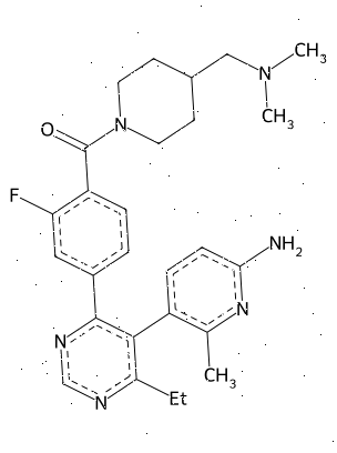 CCc1ncnc(-c2ccc(C(=O)N3CCC(CN(C)C)CC3)c(F)c2)c1-c1ccc(N)nc1C